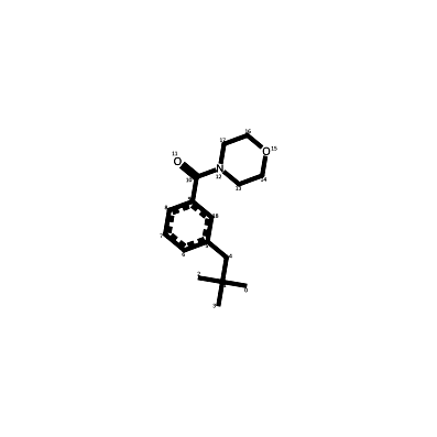 CC(C)(C)Cc1cccc(C(=O)N2CCOCC2)c1